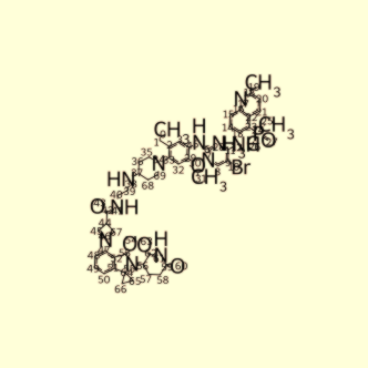 CCc1cc(Nc2ncc(Br)c(Nc3ccc4nc(C)ccc4c3P(C)(C)=O)n2)c(OC)cc1N1CCC(NCCNC(=O)C2CN(c3cccc4c3C(=O)N(C3CCC(=O)NC3=O)C43CC3)C2)CC1